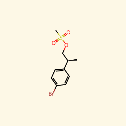 C[C@H](COS(C)(=O)=O)c1ccc(Br)cc1